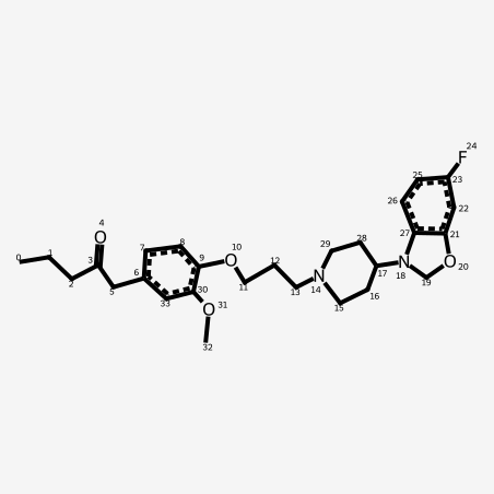 CCCC(=O)Cc1ccc(OCCCN2CCC(N3COc4cc(F)ccc43)CC2)c(OC)c1